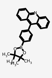 CC1(C)OB(c2ccc(-c3c4ccccc4nc4ccccc34)cc2)OC1(C)C